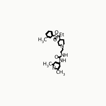 CCN(C1CCN(CCNC(=O)Nc2cc(C)nc(C)c2)CC1)S(=O)(=O)c1cccc(C)c1